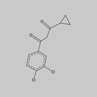 O=C(CC(=O)C1CC1)c1ccc(Cl)c(Cl)c1